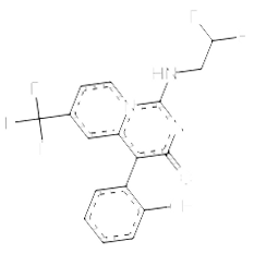 Cc1ccccc1-c1c(=O)nc(NCC(F)F)n2ccc(C(F)(F)F)cc12